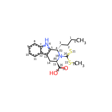 CCCC[C@H]1c2[nH]c3ccccc3c2C[C@H](C(=O)O)N1C(=S)SC